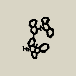 CC12c3cc(-c4cc(-n5c6ccccc6c6ccccc65)c5ccccc5c4)ccc3Nc3cccc(c31)-c1ccccc12